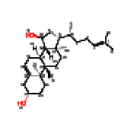 CC(C)=CCC[C@@H](C)[C@H]1C[C@H](O)[C@H]2[C@@H]3CC=C4C[C@@H](O)CC[C@]4(C)[C@H]3CC[C@@]21C